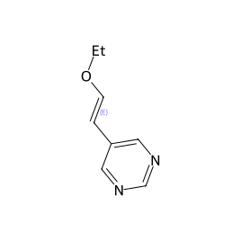 CCO/C=C/c1cncnc1